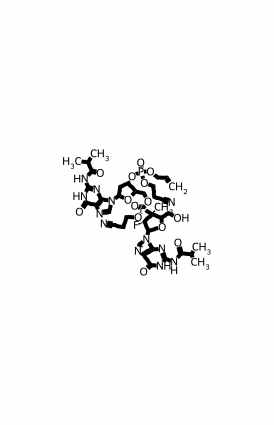 C=CCOP(=O)(OCCC#N)O[C@H]1CC(n2cnc3c(=O)[nH]c(NC(=O)C(C)C)nc32)OC1COP(=O)(OCCC#N)[C@@]1(C)C(CO)OC(n2cnc3c(=O)[nH]c(NC(=O)C(C)C)nc32)[C@@H]1F